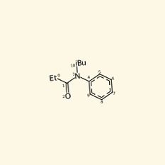 CCC(=O)N(c1ccccc1)C(C)CC